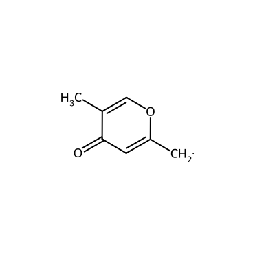 [CH2]c1cc(=O)c(C)co1